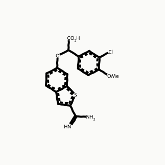 COc1ccc(C(Oc2ccc3cc(C(=N)N)sc3c2)C(=O)O)cc1Cl